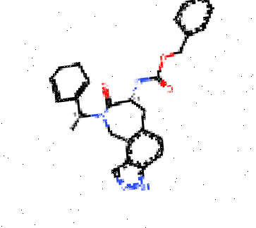 C[C@@H](C1=CCCC=C1)N1Cc2c(ccc3[nH]ncc23)C[C@@H](NC(=O)OCc2ccccc2)C1=O